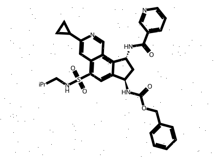 CC(C)CNS(=O)(=O)c1cc2c(c3cnc(C4CC4)cc13)[C@H](NC(=O)c1cccnc1)C[C@H]2NC(=O)OCc1ccccc1